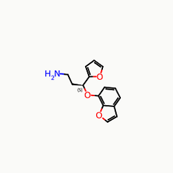 NCC[C@H](Oc1cccc2ccoc12)c1ccco1